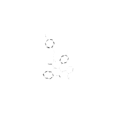 O=C(NOCc1ccc(Cl)cc1)C1c2ccccc2C(=O)N(C2COCC2O)C1c1ccc(Cl)cc1Cl